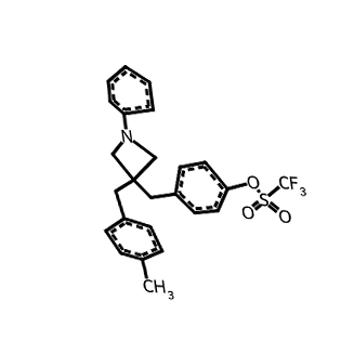 Cc1ccc(CC2(Cc3ccc(OS(=O)(=O)C(F)(F)F)cc3)CN(c3ccccc3)C2)cc1